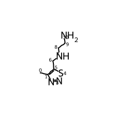 Cc1nnsc1CNCCN